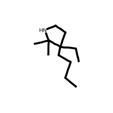 CCCCC1(CC)CCNC1(C)C